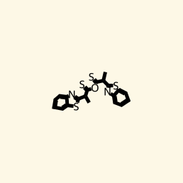 CC(C(=S)OC(=S)C(C)c1nc2ccccc2s1)c1nc2ccccc2s1